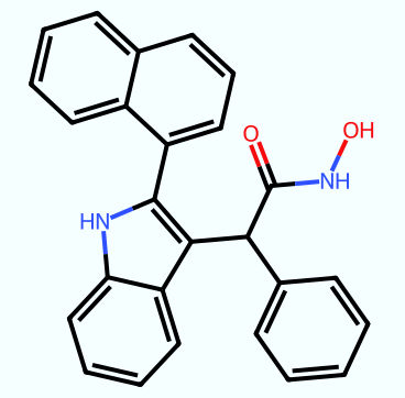 O=C(NO)C(c1ccccc1)c1c(-c2cccc3ccccc23)[nH]c2ccccc12